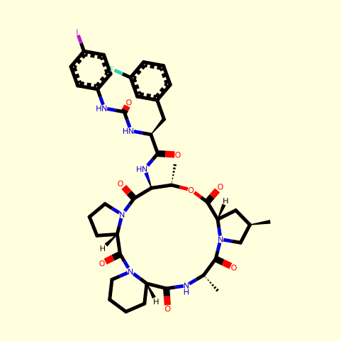 C[C@@H]1C[C@H]2C(=O)O[C@@H](C)[C@H](NC(=O)[C@H](Cc3cccc(F)c3)NC(=O)Nc3ccc(I)cc3)C(=O)N3CCC[C@H]3C(=O)N3CCCC[C@H]3C(=O)N[C@@H](C)C(=O)N2C1